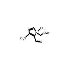 CSC[N+]1(C)C=NC([N+](=O)[O-])=C1C=S